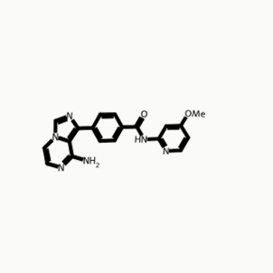 COc1ccnc(NC(=O)c2ccc(-c3ncn4ccnc(N)c34)cc2)c1